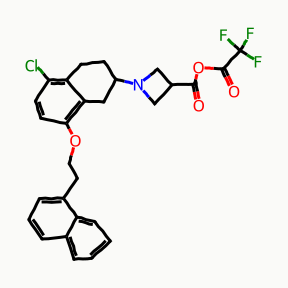 O=C(OC(=O)C(F)(F)F)C1CN(C2CCc3c(Cl)ccc(OCCc4cccc5ccccc45)c3C2)C1